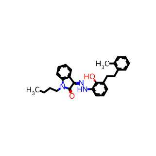 CCCCN1C(=O)/C(=N\Nc2cccc(CCc3ccccc3C)c2O)c2ccccc21